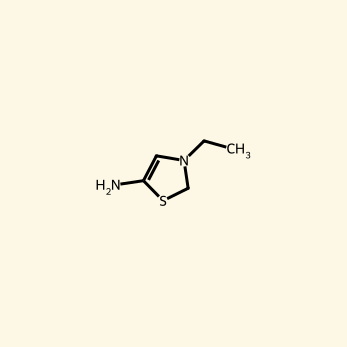 CCN1C=C(N)SC1